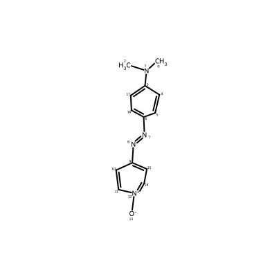 CN(C)c1ccc(N=Nc2cc[n+]([O-])cc2)cc1